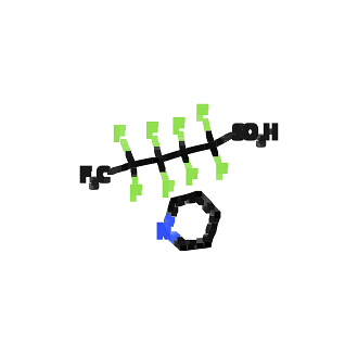 O=S(=O)(O)C(F)(F)C(F)(F)C(F)(F)C(F)(F)C(F)(F)F.c1ccncc1